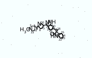 CN1CCN(c2ccc(-c3n[nH]c4cc(C5CC56C(=O)Nc5ccccc56)ccc34)cn2)CC1